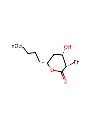 CCCCCCCCCCC[C@@H]1C[C@H](O)[C@H](CC)C(=O)O1